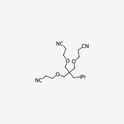 CC(C)CC(COCCC#N)(COCCC#N)COCCC#N